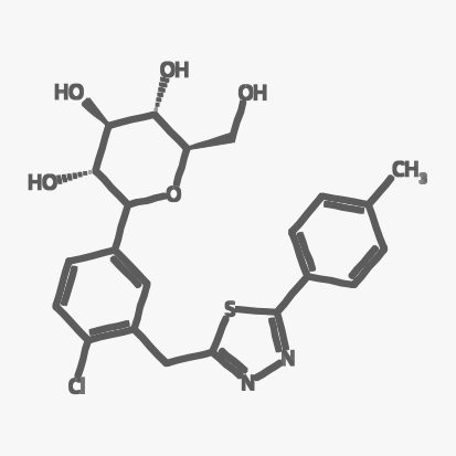 Cc1ccc(-c2nnc(Cc3cc(C4O[C@H](CO)[C@@H](O)[C@H](O)[C@H]4O)ccc3Cl)s2)cc1